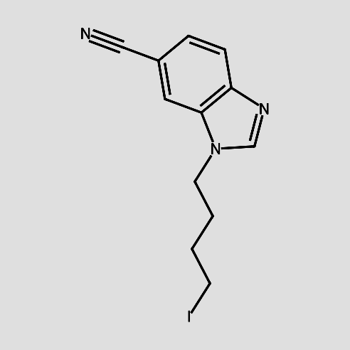 N#Cc1ccc2ncn(CCCCI)c2c1